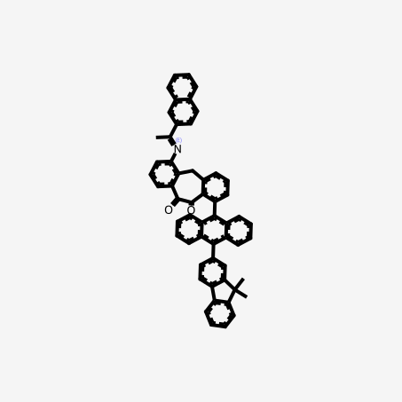 C/C(=N\c1cccc2c1Cc1cccc(-c3c4ccccc4c(-c4ccc5c(c4)C(C)(C)c4ccccc4-5)c4ccccc34)c1C(=O)C2=O)c1ccc2ccccc2c1